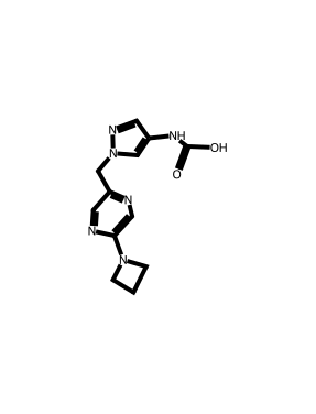 O=C(O)Nc1cnn(Cc2cnc(N3CCC3)cn2)c1